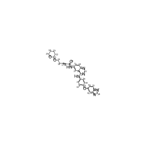 Cc1cc(Nc2ncnc3ccc(NC(=O)C#CCCOC4CCCCO4)cc23)ccc1Oc1ccn2ncnc2c1